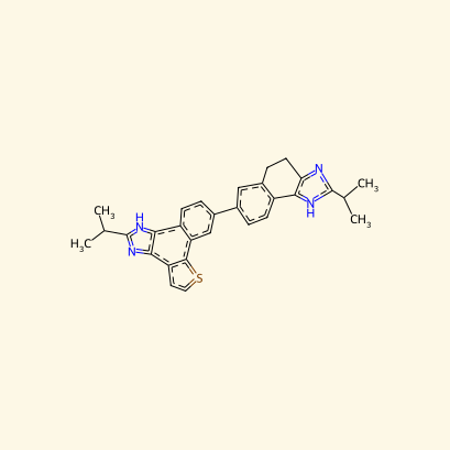 CC(C)c1nc2c([nH]1)-c1ccc(-c3ccc4c(c3)c3sccc3c3nc(C(C)C)[nH]c43)cc1CC2